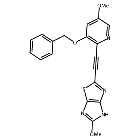 COc1cnc(C#Cc2nc3[nH]c(OC)nc3s2)c(OCc2ccccc2)c1